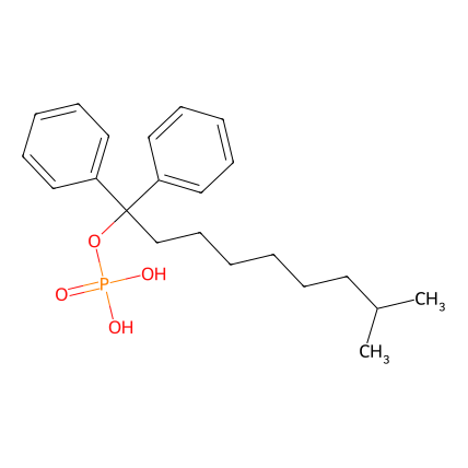 CC(C)CCCCCCC(OP(=O)(O)O)(c1ccccc1)c1ccccc1